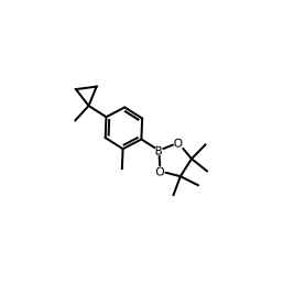 Cc1cc(C2(C)CC2)ccc1B1OC(C)(C)C(C)(C)O1